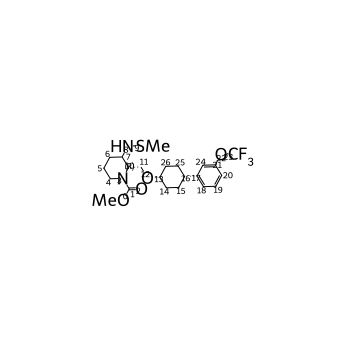 COC(=O)N1CCCC(NSC)[C@@H]1CO[C@H]1CC[C@@H](c2cccc(OC(F)(F)F)c2)CC1